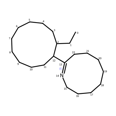 CCC1CCCCCCCCCC1/C1=N/CCCCCCCC1